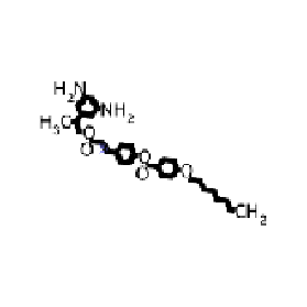 C=CCCCCCCOC1CCC(C(=O)Oc2ccc(/C=C/C(=O)OCC(C)c3cc(N)cc(N)c3)cc2)CC1